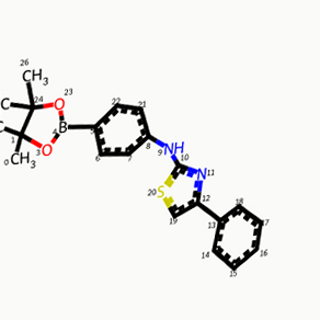 CC1(C)OB(c2ccc(Nc3nc(-c4ccccc4)cs3)cc2)OC1(C)C